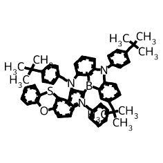 CC(C)(C)c1ccc(N2c3ccc(C(C)(C)C)cc3B3c4c2cccc4N(c2ccc(C(C)(C)C)cc2)c2c3n(-c3ccccc3)c3ccc4c(c23)Sc2ccccc2O4)cc1